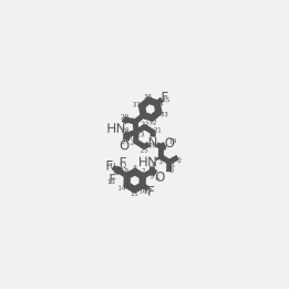 CC(C)[C@@H](NC(=O)c1cc(C(F)(F)F)ccc1F)C(=O)N1CCC2(CC1)C(=O)NCC2c1ccc(F)cc1